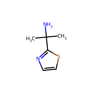 CC(C)(N)c1nccs1